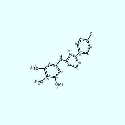 COc1cc(Nc2ncnc(-c3ccc(C)cc3)n2)cc(OC)c1OC